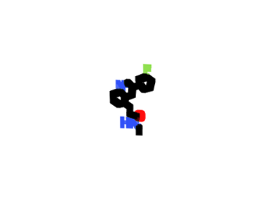 CCNC(=O)CCc1cccc2ncc(-c3cccc(F)c3)cc12